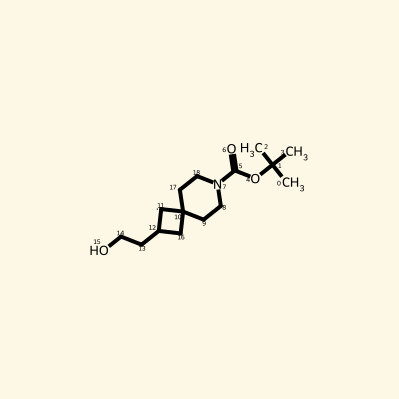 CC(C)(C)OC(=O)N1CCC2([CH]C(CCO)C2)CC1